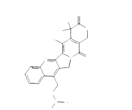 CCC1(O)C(=O)OCc2c1c([N+](=O)[O-])c1n(c2=O)Cc2c-1nc1ccccc1c2CON(O)O